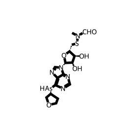 CN(C=O)SC[C@H]1O[C@@H](n2cnc3c([AsH][C@@H]4CCOC4)ncnc32)[C@H](O)[C@@H]1O